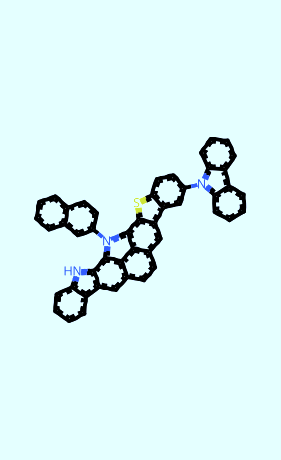 c1ccc2cc(-n3c4c5[nH]c6ccccc6c5cc5ccc6cc7c8cc(-n9c%10ccccc%10c%10ccccc%109)ccc8sc7c3c6c54)ccc2c1